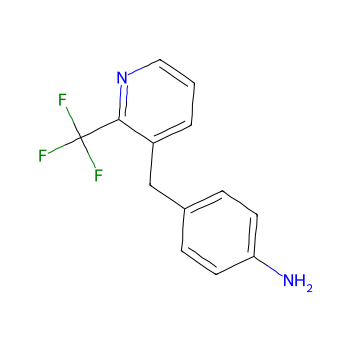 Nc1ccc(Cc2cccnc2C(F)(F)F)cc1